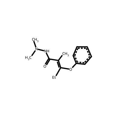 CCC(Oc1ccccc1)=C(C)C(=O)NN(C)C